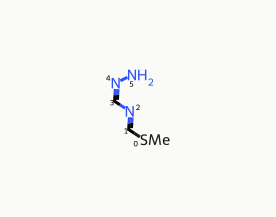 CS/C=N/C=N\N